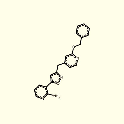 Nc1ncccc1-c1cc(Cc2ccnc(OCc3ccccc3)c2)no1